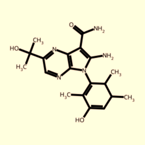 CC1=C(n2c(N)c(C(N)=O)c3nc(C(C)(C)O)cnc32)C(C)C(C)C=C1O